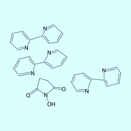 O=C1CCC(=O)N1O.c1ccc(-c2ccccn2)nc1.c1ccc(-c2ccccn2)nc1.c1ccc(-c2ccccn2)nc1